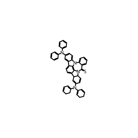 S=C1c2ccccc2-n2c3ccc(N(c4ccccc4)c4ccccc4)cc3c3ccc4c(c32)N1C1C=CC(N(C2=CCCC=C2)C2=CC=CCC2)=CC41